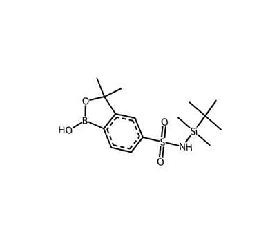 CC1(C)OB(O)c2ccc(S(=O)(=O)N[Si](C)(C)C(C)(C)C)cc21